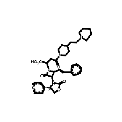 O=C(O)C(CC(=O)N1CCC(CCN2CCCCC2)CC1)N1C(=O)C(N2C(=O)OC[C@@H]2c2ccccc2)C1C=Cc1ccccc1